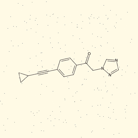 O=C(Cn1cncn1)c1ccc(C#CC2CC2)cc1